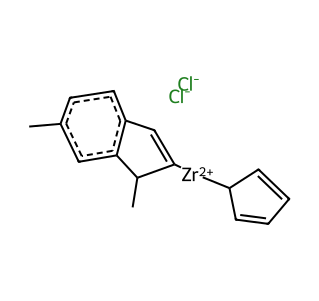 Cc1ccc2c(c1)C(C)[C]([Zr+2][CH]1C=CC=C1)=C2.[Cl-].[Cl-]